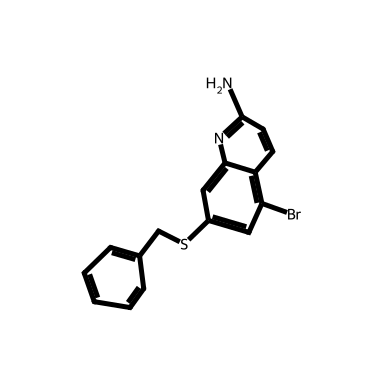 Nc1ccc2c(Br)cc(SCc3ccccc3)cc2n1